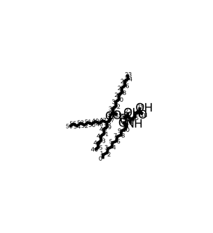 CCCCCCCCCCCC(=O)NC(CCC(=O)O)C(=O)O.CCCCCCCCCCCC(=O)OCC(CCCCCCCC)CCCCCCCCCC